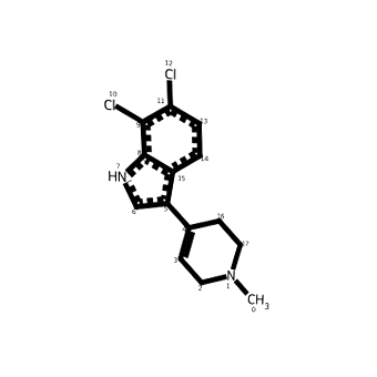 CN1CC=C(c2c[nH]c3c(Cl)c(Cl)ccc23)CC1